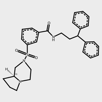 O=C(NCCC(c1ccccc1)c1ccccc1)c1cccc(S(=O)(=O)N2CCN3CCC[C@H]3C2)c1